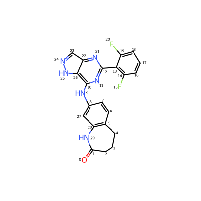 O=C1CCCc2ccc(Nc3nc(-c4c(F)cccc4F)nc4cn[nH]c34)cc2N1